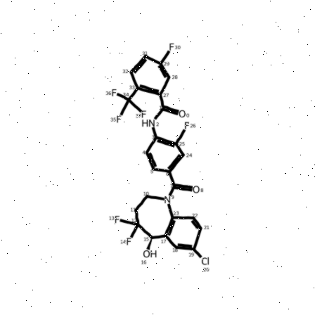 O=C(Nc1ccc(C(=O)N2CCC(F)(F)[C@H](O)c3cc(Cl)ccc32)cc1F)c1cc(F)ccc1C(F)(F)F